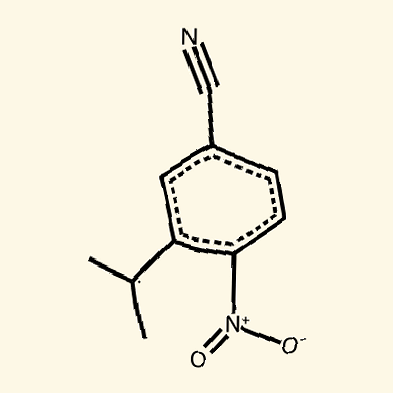 C[C](C)c1cc(C#N)ccc1[N+](=O)[O-]